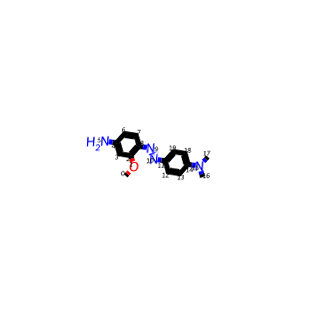 COc1cc(N)ccc1/N=N/c1ccc(N(C)C)cc1